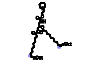 CCCCCCCC/C=C\CCCCCCCC(=O)OCC(CNC(=O)OCCN1CCCCC1)OC(=O)CCCCCCC/C=C\CCCCCCCC